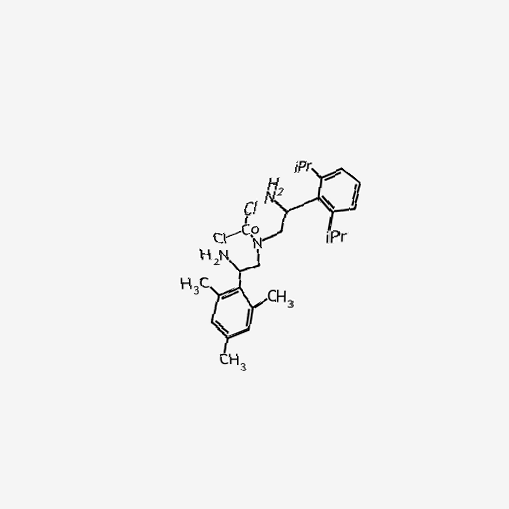 Cc1cc(C)c(C(N)C[N](CC(N)c2c(C(C)C)cccc2C(C)C)[Co]([Cl])[Cl])c(C)c1